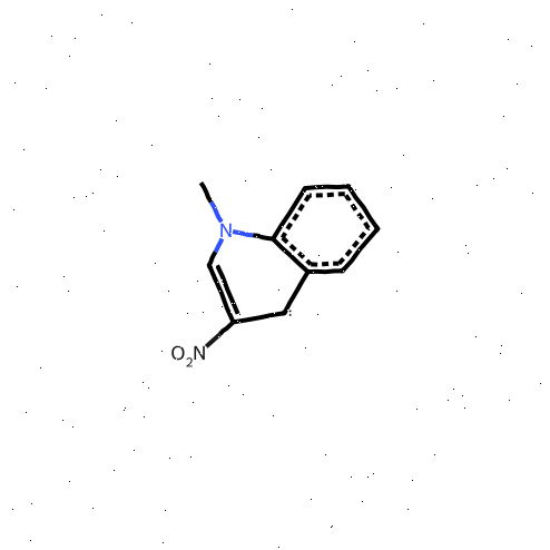 CN1C=C([N+](=O)[O-])[C]c2ccccc21